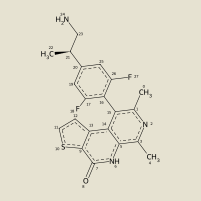 Cc1nc(C)c2[nH]c(=O)c3sccc3c2c1-c1c(F)cc([C@@H](C)CN)cc1F